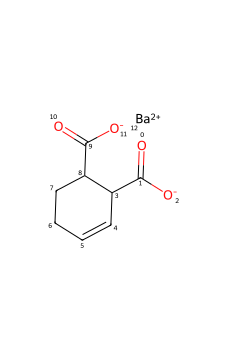 O=C([O-])C1C=CCCC1C(=O)[O-].[Ba+2]